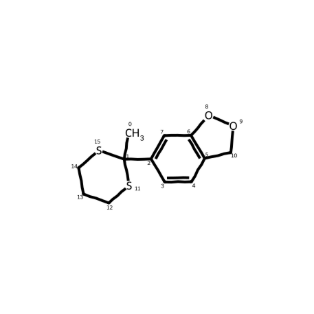 CC1(c2ccc3c(c2)OOC3)SCCCS1